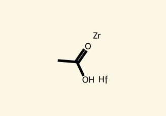 CC(=O)O.[Hf].[Zr]